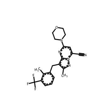 Cc1nn2c(C#N)cc(N3CCOCC3)nc2c1Cc1cccc(C(F)(F)F)c1C